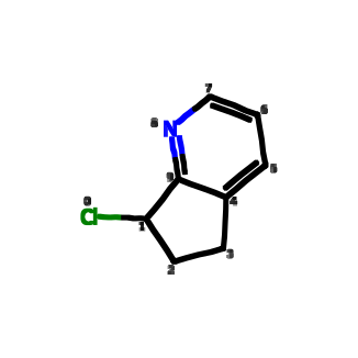 ClC1CCc2cccnc21